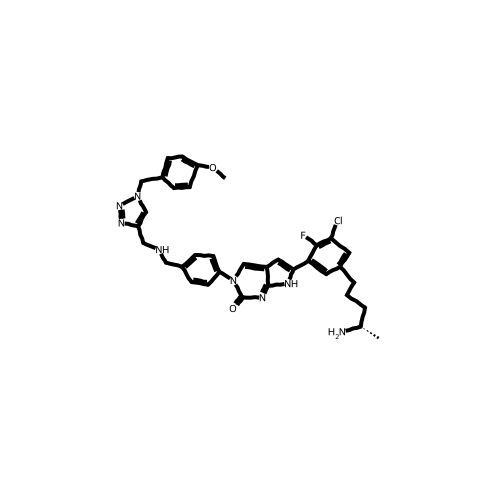 COc1ccc(Cn2cc(CNCc3ccc(-n4cc5cc(-c6cc(CCC[C@H](C)N)cc(Cl)c6F)[nH]c5nc4=O)cc3)nn2)cc1